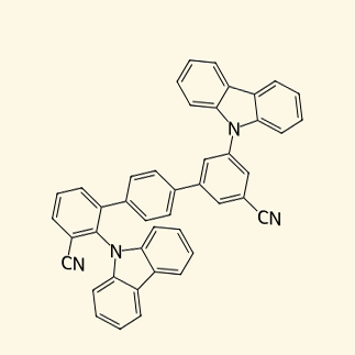 N#Cc1cc(-c2ccc(-c3cccc(C#N)c3-n3c4ccccc4c4ccccc43)cc2)cc(-n2c3ccccc3c3ccccc32)c1